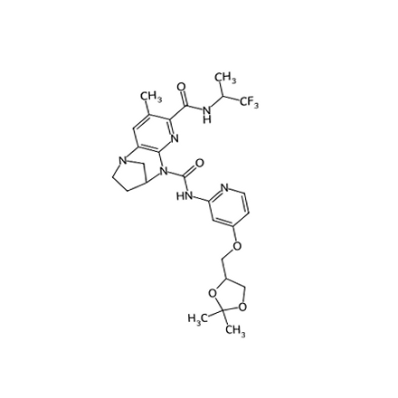 Cc1cc2c(nc1C(=O)NC(C)C(F)(F)F)N(C(=O)Nc1cc(OCC3COC(C)(C)O3)ccn1)C1CCN2C1